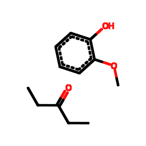 CCC(=O)CC.COc1ccccc1O